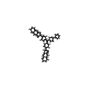 c1ccc(-c2ccc(N(c3ccc(-c4cc5cc6ccccc6cc5o4)cc3)c3ccc(-c4cc5cc6ccccc6cc5o4)cc3)cc2)cc1